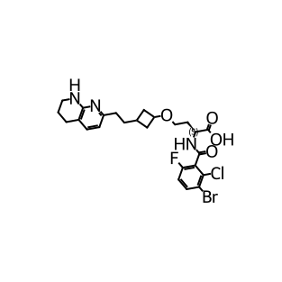 O=C(N[C@@H](CCOC1CC(CCc2ccc3c(n2)NCCC3)C1)C(=O)O)c1c(F)ccc(Br)c1Cl